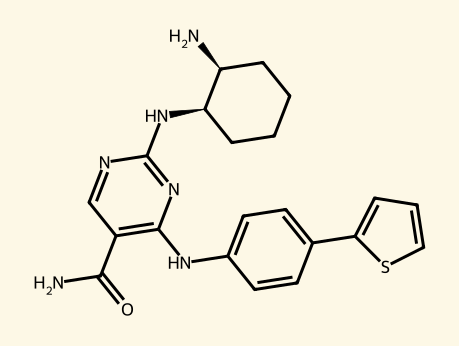 NC(=O)c1cnc(N[C@@H]2CCCC[C@@H]2N)nc1Nc1ccc(-c2cccs2)cc1